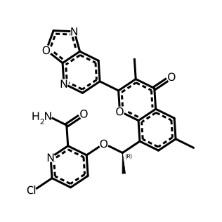 Cc1cc([C@@H](C)Oc2ccc(Cl)nc2C(N)=O)c2oc(-c3cnc4ocnc4c3)c(C)c(=O)c2c1